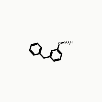 O=S(=O)(O)Oc1cccc(Cc2ccccc2)c1